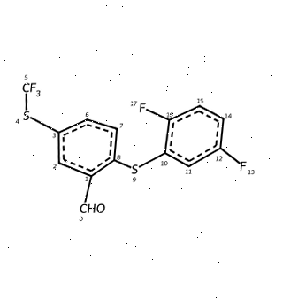 O=Cc1cc(SC(F)(F)F)ccc1Sc1cc(F)ccc1F